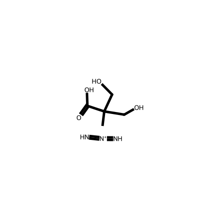 CC(CO)(CO)C(=O)O.N=[N+]=N